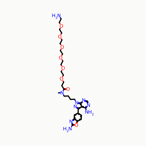 CN(CCCCn1nc(-c2ccc3oc(N)nc3c2)c2c(N)ncnc21)C(=O)CCOCCOCCOCCOCCOCCOCCN